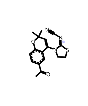 CC(=O)c1ccc2c(c1)C(N1CCS/C1=N/C#N)=CC(C)(C)O2